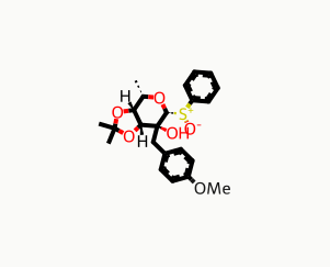 COc1ccc(C[C@]2(O)[C@@H]3OC(C)(C)O[C@@H]3[C@H](C)O[C@@H]2[S+]([O-])c2ccccc2)cc1